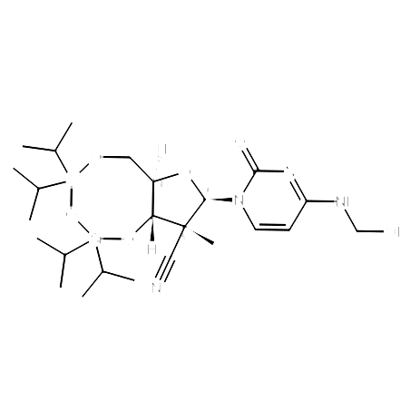 CC(C)[Si]1(C(C)C)OC[C@H]2O[C@@H](n3ccc(NCO)nc3=O)[C@](C)(C#N)[C@@H]2O[Si](C(C)C)(C(C)C)O1